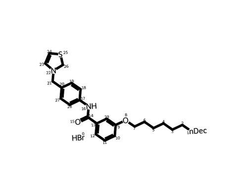 Br.CCCCCCCCCCCCCCCCOc1cccc(C(=O)Nc2ccc(CN3C=CSC3)cc2)c1